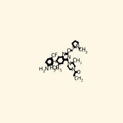 C=CC(=O)N1CCN(c2nc(OC[C@@H]3CCCN3C)nc3c2C[C@@H](C)[C@H](c2c(C(F)(F)F)ccc(N)c2C)C3)[C@@H](C)C1